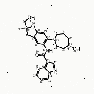 C[C@@]1(CO)Cc2cc(NC(=O)c3cnn4cccnc34)c(N3CCC[C@H](O)CC3)cc2O1